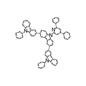 c1ccc(-c2cc(-c3ccccc3)nc(-n3c4ccc(-c5ccc6c(c5)c5ccccc5n6-c5ccccc5)cc4c4cc(-c5ccc6c(c5)c5ccccc5n6-c5ccccc5)ccc43)c2)cc1